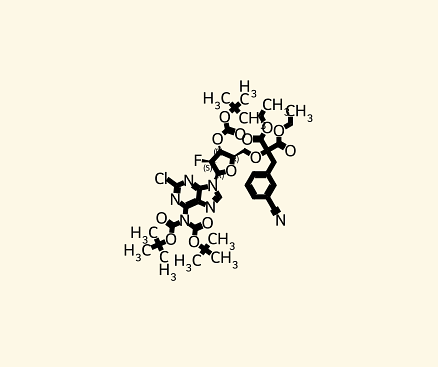 CCOC(=O)C(Cc1cccc(C#N)c1)(OC[C@H]1O[C@@H](n2cnc3c(N(C(=O)OC(C)(C)C)C(=O)OC(C)(C)C)nc(Cl)nc32)[C@@H](F)[C@@H]1OC(=O)OC(C)(C)C)C(=O)OCC